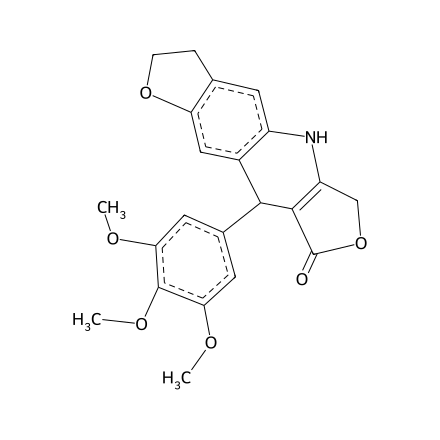 COc1cc(C2C3=C(COC3=O)Nc3cc4c(cc32)OCC4)cc(OC)c1OC